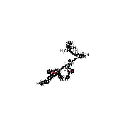 CC[N+]1=C(/C=C/C=C/C=C2/N(CCCCCC(=O)NCNC(=O)C(CCCCNC(=O)C3CCN(S(=O)(=O)c4ccccc4-c4c5cc/c(=[N+]6/CCc7cc(S(=O)(=O)O)ccc76)cc-5oc5cc(N6CCc7cc(S(=O)(=O)O)ccc76)ccc45)CC3)NC(=O)C(Cc3ccccc3)NC(=O)OCc3ccccc3)c3ccc(S(=O)(=O)O)cc3C2(C)C)C(C)(C)c2cc(S(C)(=O)=O)ccc21